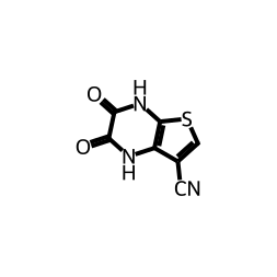 N#Cc1csc2[nH]c(=O)c(=O)[nH]c12